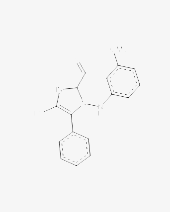 COc1cccc(NN2C(c3ccccc3)=C(C)NC2C=S)c1